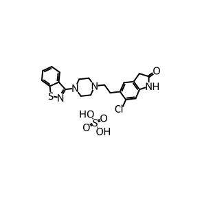 O=C1Cc2cc(CCN3CCN(c4nsc5ccccc45)CC3)c(Cl)cc2N1.O=S(=O)(O)O